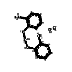 FC(F)(F)c1ccccc1[O][Zr+2][O]c1ccccc1C(F)(F)F.[Cl-].[Cl-]